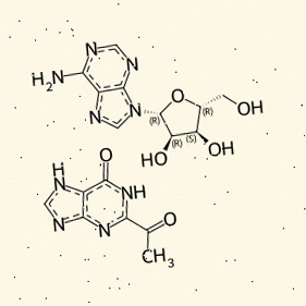 CC(=O)c1nc2nc[nH]c2c(=O)[nH]1.Nc1ncnc2c1ncn2[C@@H]1O[C@H](CO)[C@@H](O)[C@H]1O